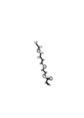 C=CC(=O)OCCOCCCCOCC